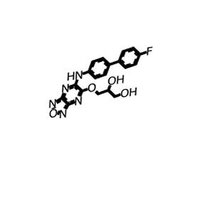 OCC(O)COc1nc2nonc2nc1Nc1ccc(-c2ccc(F)cc2)cc1